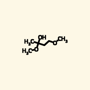 COCCC(C)(O)OC